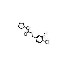 O=C(CCc1ccc(Cl)c(Cl)c1)OC1CCCC1